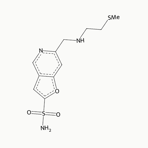 CSCCNCc1cc2oc(S(N)(=O)=O)cc2cn1